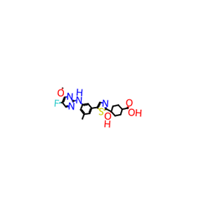 COc1nc(Nc2cc(C)cc(-c3cnc(C4(O)CCC(C(=O)O)CC4)s3)c2)ncc1F